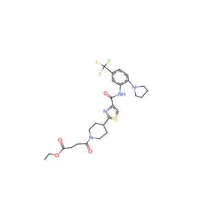 CCOC(=O)CCC(=O)N1CCC(c2nc(C(=O)Nc3cc(C(F)(F)F)ccc3N3CCCC3)cs2)CC1